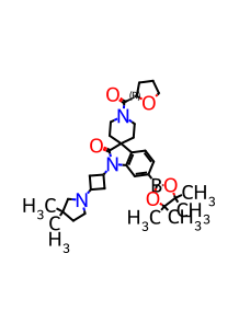 CC1(C)CCN(C2CC(N3C(=O)C4(CCN(C(=O)[C@H]5CCCO5)CC4)c4ccc(B5OC(C)(C)C(C)(C)O5)cc43)C2)C1